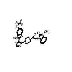 Cn1c(=O)n(CC(=O)N2CCN(c3scnc3-c3nc4ccc(OC(F)(F)F)cc4[nH]3)CC2)c2ccccc21